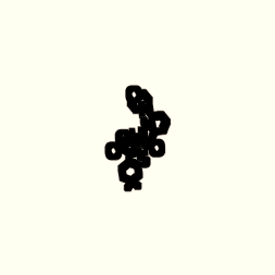 CC1(C)CCc2c(sc(NC(=O)c3cccc(N4CCOCC4)n3)c2C(=O)O)C1